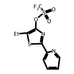 CCc1sc(-c2ccccn2)nc1OS(=O)(=O)C(F)(F)F